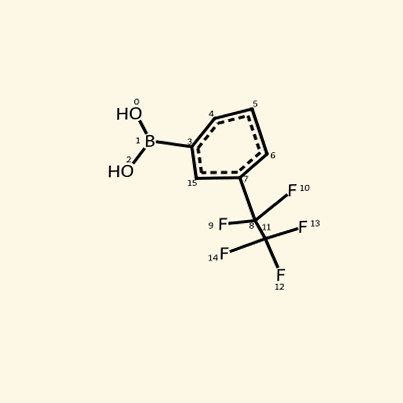 OB(O)c1cccc(C(F)(F)C(F)(F)F)c1